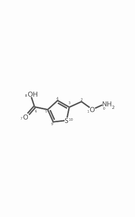 NOCc1cc(C(=O)O)cs1